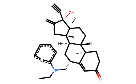 C#C[C@]1(O)C(=C)C[C@H]2[C@@H]3C[C@@H](CN(CC)c4ccccc4)C4=CC(=O)CC[C@]4(C)[C@H]3CC[C@@]21C